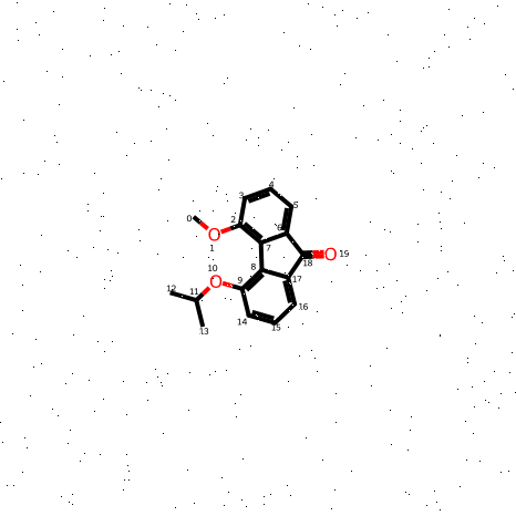 COc1cccc2c1-c1c(OC(C)C)cccc1C2=O